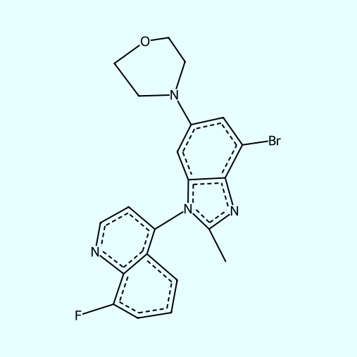 Cc1nc2c(Br)cc(N3CCOCC3)cc2n1-c1ccnc2c(F)cccc12